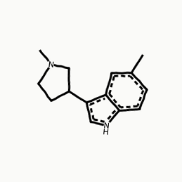 Cc1ccc2[nH]cc(C3CCN(C)C3)c2c1